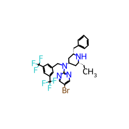 CC[C@@H]1C[C@H](N(Cc2cc(C(F)(F)F)cc(C(F)(F)F)c2)c2ncc(Br)cn2)C[C@H](Cc2ccccc2)N1